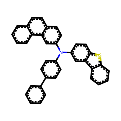 c1ccc(-c2ccc(N(c3ccc4ccc5ccccc5c4c3)c3ccc4sc5ccccc5c4c3)cc2)cc1